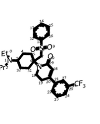 CCN(C(C)C)C1CCC(CS(=O)(=O)c2ccccc2)(N2CCC(c3cccc(C(F)(F)F)c3)=CC2=O)CC1